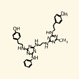 Cc1nc(NCCNc2nc(NCCc3ccc(O)cc3)nc(Nc3ccccc3)n2)nc(NCCc2ccc(O)cc2)n1